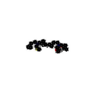 CC1(C)c2ccccc2-c2cccc(-c3ccc(N(c4cccc(-c5cccc(-c6cccc7cc(-c8ccc9c(c8)-c8cccc(-c%10ccc(N(c%11cccc(-c%12cccc(-c%13cccc%14ccccc%13%14)c%12)c%11)c%11ccc%12sc%13ccccc%13c%12c%11)cc%10)c8C9(C)C)ccc67)c5)c4)c4ccc5oc6ccccc6c5c4)cc3)c21